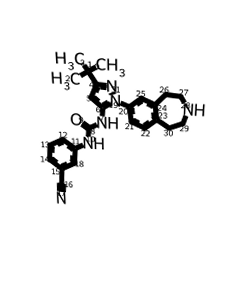 CC(C)(C)c1cc(NC(=O)Nc2cccc(C#N)c2)n(-c2ccc3c(c2)CCNCC3)n1